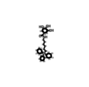 O=C(NCCCCCC[PH](c1ccccc1)(c1ccccc1)c1ccccc1)c1cc(O)c(O)c(O)c1